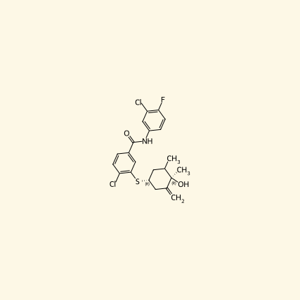 C=C1C[C@H](Sc2cc(C(=O)Nc3ccc(F)c(Cl)c3)ccc2Cl)CC(C)[C@@]1(C)O